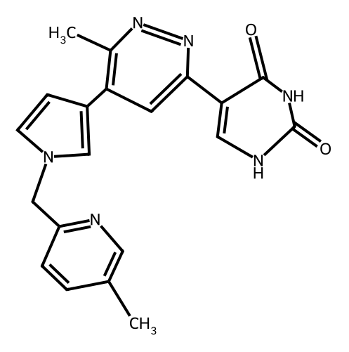 Cc1ccc(Cn2ccc(-c3cc(-c4c[nH]c(=O)[nH]c4=O)nnc3C)c2)nc1